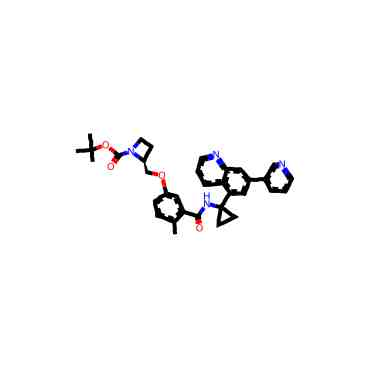 Cc1ccc(OC[C@@H]2CCN2C(=O)OC(C)(C)C)cc1C(=O)NC1(c2cc(-c3cccnc3)cc3ncccc23)CC1